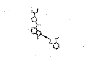 C=CC(=O)N1CCC(Nc2ncnc3[nH]c(C#CCOc4ccccc4OC)cc23)C1